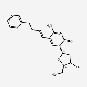 Nc1nc(=O)n([C@H]2CC(O)[C@@H](CO)O2)cc1C=CCCc1ccccc1